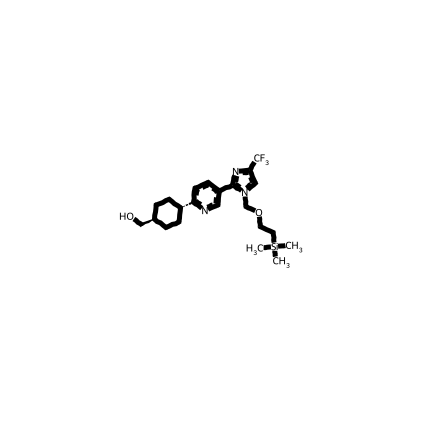 C[Si](C)(C)CCOCn1cc(C(F)(F)F)nc1-c1ccc([C@H]2CC[C@H](CO)CC2)nc1